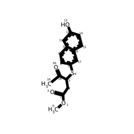 COC(=O)CC(Sc1ccc2cc(O)ccc2c1)C(C)=O